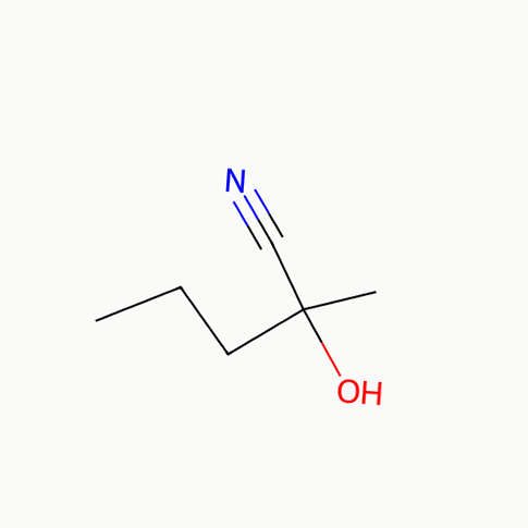 CCCC(C)(O)C#N